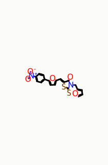 O=C1C(=Cc2ccc(-c3ccc([N+](=O)[O-])cc3)o2)SC(=S)N1Cc1ccco1